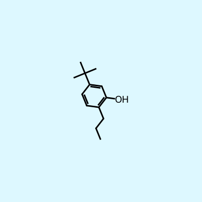 CCCc1ccc(C(C)(C)C)cc1O